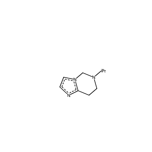 CC(C)N1CCc2nccn2C1